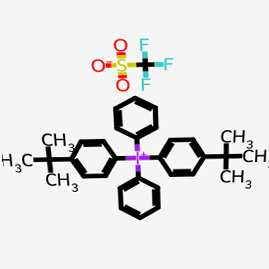 CC(C)(C)c1ccc([I+](c2ccccc2)(c2ccccc2)c2ccc(C(C)(C)C)cc2)cc1.O=S(=O)([O-])C(F)(F)F